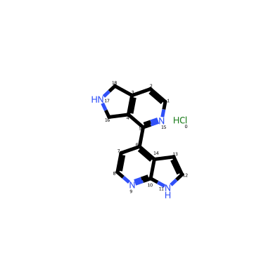 Cl.c1cc2c(c(-c3ccnc4[nH]ccc34)n1)CNC2